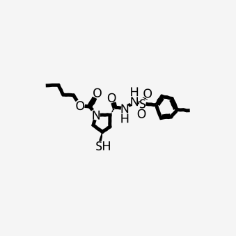 CCCCOC(=O)N1C[C@H](S)C[C@H]1C(=O)NNS(=O)(=O)c1ccc(C)cc1